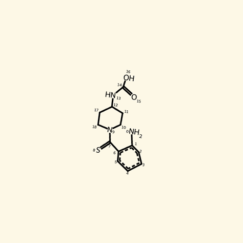 Nc1ccccc1C(=S)N1CCC(NC(=O)O)CC1